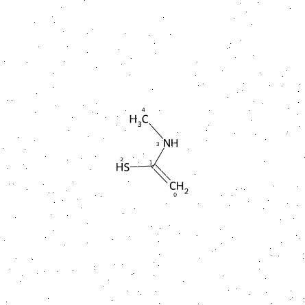 C=C(S)NC